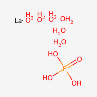 O.O.O.O.O.O.O=P(O)(O)O.[La]